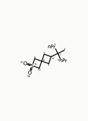 CCCC(C)(CCC)C1CC2(C1)CS(=O)(=O)C2